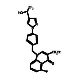 CCOC(=O)c1cn(Cc2ccc(-n3cc(C(O)C(F)(F)F)cn3)cc2)c2cccc(F)c2c1=O